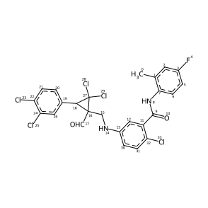 Cc1cc(F)ccc1NC(=O)c1cc(NCC2(C=O)C(c3ccc(Cl)c(Cl)c3)C2(Cl)Cl)ccc1Cl